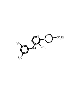 CCOC(=O)C1CCN(c2ncnc(Nc3cc(C(F)(F)F)cc(C(F)(F)F)c3)c2[N+](=O)[O-])CC1